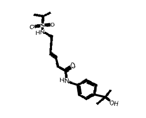 CC(C)S(=O)(=O)NCCCCC(=O)Nc1ccc(C(C)(C)O)cc1